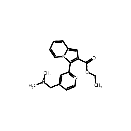 CCOC(=O)c1cc2ccccn2c1-c1cc(CN(C)C)ccn1